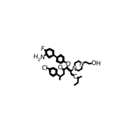 CCC(C)=C=C/C(=C(/Oc1ccc(-c2ccc(F)c(N)c2)cc1)C(=O)CC(C)c1ccc(Cl)cc1)N1CCN(CCO)CC1